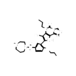 CCCOc1ccc(S(=O)(=O)N2CCCN(C)CC2)cc1-c1[nH]c2c(c1Br)n(CCC)c(=O)n1cnnc21